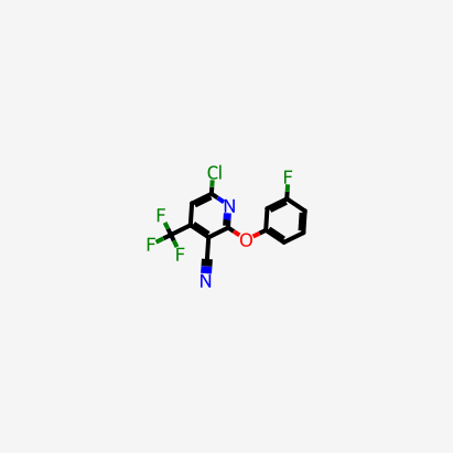 N#Cc1c(C(F)(F)F)cc(Cl)nc1Oc1cccc(F)c1